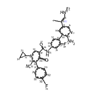 CCN/C=C(\C)c1cnc(N)c(-c2ccc(NC(=O)c3cn(C4CC4)c(C#N)c(-c4ccc(F)cc4)c3=O)cc2F)c1